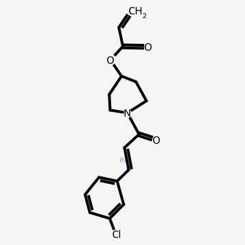 C=CC(=O)OC1CCN(C(=O)/C=C/c2cccc(Cl)c2)CC1